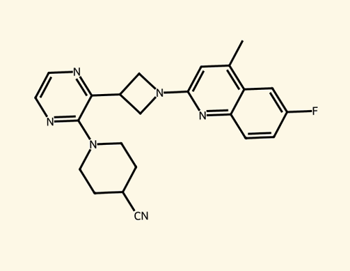 Cc1cc(N2CC(c3nccnc3N3CCC(C#N)CC3)C2)nc2ccc(F)cc12